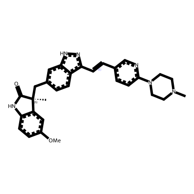 COc1ccc2c(c1)[C@](C)(Cc1ccc3c(/C=C/c4ccc(N5CCN(C)CC5)nc4)n[nH]c3c1)C(=O)N2